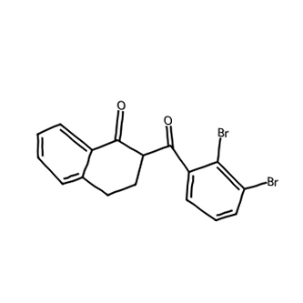 O=C1c2ccccc2CCC1C(=O)c1cccc(Br)c1Br